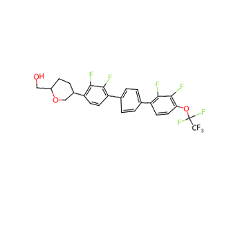 OCC1CCC(c2ccc(-c3ccc(-c4ccc(OC(F)(F)C(F)(F)F)c(F)c4F)cc3)c(F)c2F)CO1